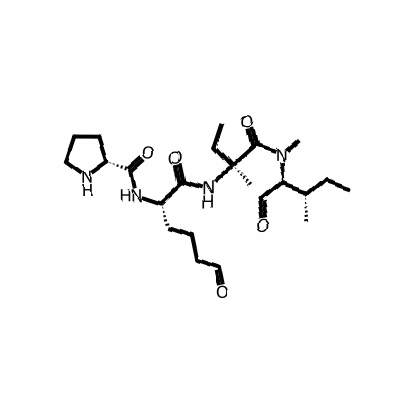 CC[C@H](C)[C@@H](C=O)N(C)C(=O)[C@](C)(CC)NC(=O)[C@H](CCCC=O)NC(=O)[C@H]1CCCN1